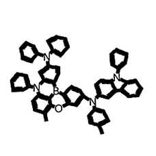 Cc1ccc(N(c2ccc3c(c2)Oc2c(C)ccc4c2B3c2ccc(N(c3ccccc3)c3ccccc3)cc2N4c2ccccc2)c2ccc3c(c2)c2ccccc2n3-c2ccccc2)cc1